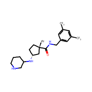 CC(C)[C@]1(C(=O)NCc2cc(C(F)(F)F)cc(C(F)(F)F)c2)CC[C@@H](NC2CCCNC2)C1